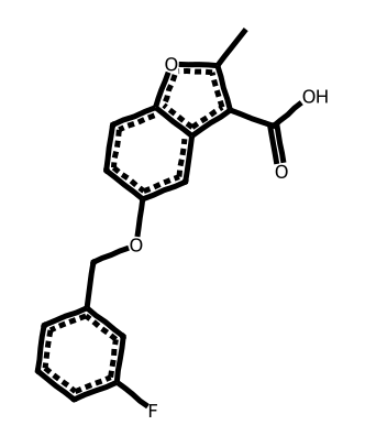 Cc1oc2ccc(OCc3cccc(F)c3)cc2c1C(=O)O